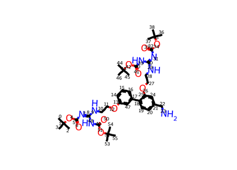 CC(C)(C)OC(=O)/N=C(/NCCOc1cccc(-c2ccc(CN)cc2OCCN/C(=N/C(=O)OC(C)(C)C)NC(=O)OC(C)(C)C)c1)NC(=O)OC(C)(C)C